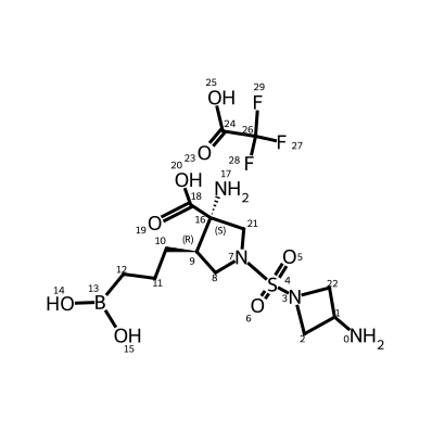 NC1CN(S(=O)(=O)N2C[C@@H](CCCB(O)O)[C@@](N)(C(=O)O)C2)C1.O=C(O)C(F)(F)F